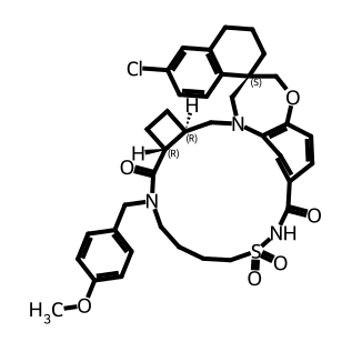 COc1ccc(CN2CCCCS(=O)(=O)NC(=O)c3ccc4c(c3)N(C[C@@H]3CC[C@H]3C2=O)C[C@@]2(CCCc3cc(Cl)ccc32)CO4)cc1